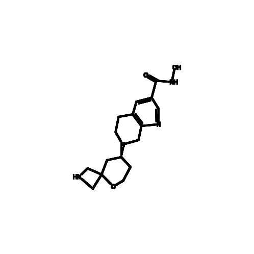 O=C(NO)c1cnc2c(c1)CCN([C@H]1CCOC3(CNC3)C1)C2